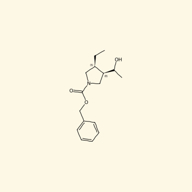 CC[C@@H]1CN(C(=O)OCc2ccccc2)C[C@@H]1C(C)O